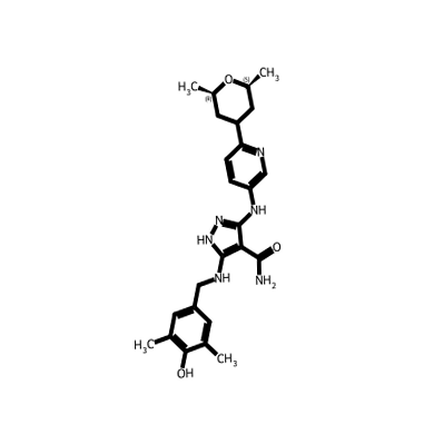 Cc1cc(CNc2[nH]nc(Nc3ccc(C4C[C@@H](C)O[C@@H](C)C4)nc3)c2C(N)=O)cc(C)c1O